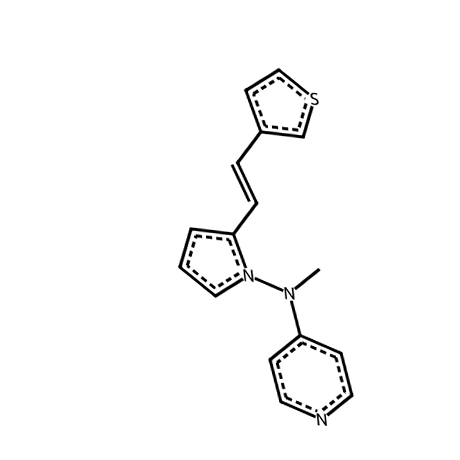 CN(c1ccncc1)n1cccc1/C=C/c1ccsc1